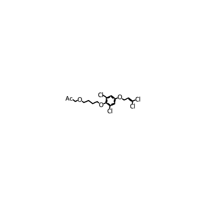 CC(=O)COCCCCOc1c(Cl)cc(OCC=C(Cl)Cl)cc1Cl